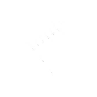 O=[N+]([O-])[O-].O=[N+]([O-])[O-].O=[N+]([O-])[O-].O=[N+]([O-])[O-].O=[N+]([O-])[O-].O=[N+]([O-])[O-].O=[N+]([O-])[O-].O=[N+]([O-])[O-].[Al+3].[Cr+3].[Cu+2]